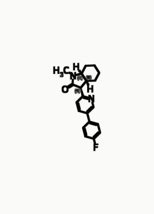 CN1C(=O)[C@H](c2ccc(-c3ccc(F)cc3)cn2)[C@H]2CCCC[C@H]21